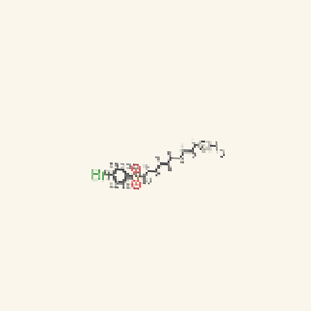 C=CCCCCCCCCCS(=O)(=O)c1ccc(Br)cc1